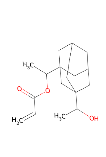 C=CC(=O)OC(C)C12CC3CC(CC(C(C)O)(C3)C1)C2